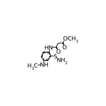 CNc1ccc(NC(=O)CC(=O)OC)c(SN)c1